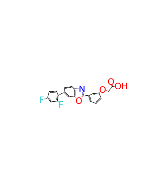 O=C(O)COc1cccc(-c2nc3ccc(-c4ccc(F)cc4F)cc3o2)c1